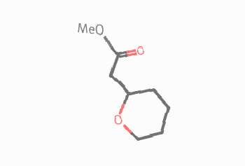 COC(=O)CC1CCCCO1